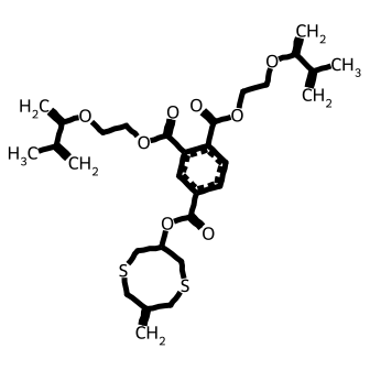 C=C1CSCC(OC(=O)c2ccc(C(=O)OCCOC(=C)C(=C)C)c(C(=O)OCCOC(=C)C(=C)C)c2)CSC1